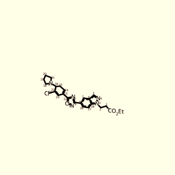 CCOC(=O)CCn1ncc2cc(-c3noc(C4=CCC(N5CCCC5)C(Cl)=C4)n3)ccc21